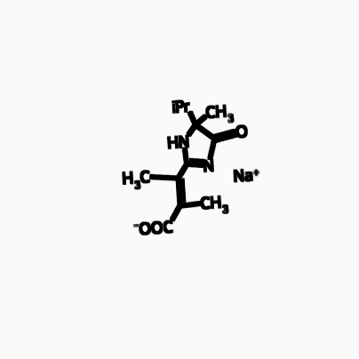 CC(C(=O)[O-])=C(C)C1=NC(=O)C(C)(C(C)C)N1.[Na+]